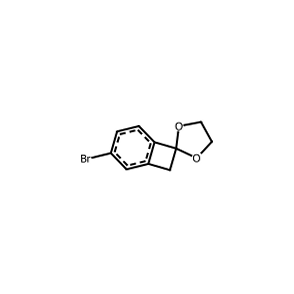 Brc1ccc2c(c1)CC21OCCO1